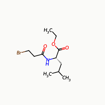 CCOC(=O)[C@H](CC(C)C)NC(=O)CCBr